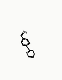 N=Cc1ccc(C2=NC=CCC2)cc1